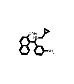 COc1ccc2ccccc2c1C(NCC1CC1)c1cccc(N)c1